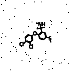 CNC(C)(C)c1cc(SC)ccc1Oc1ccc(Cl)c(Cl)c1